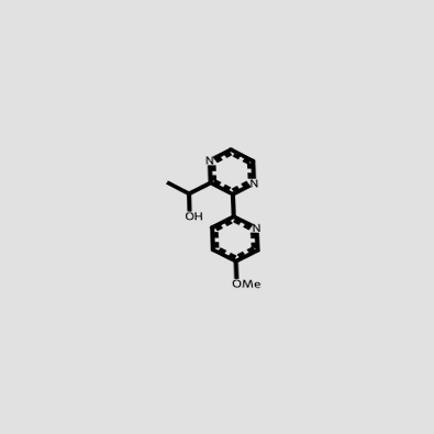 COc1ccc(-c2nccnc2C(C)O)nc1